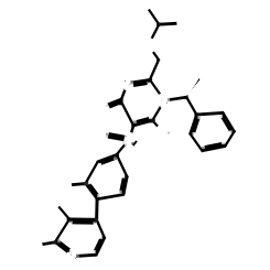 Cc1c(-c2ccc(S(=O)(=O)c3c(O)n([C@@H](C)c4ccccc4)c(COC(C)C)nc3=O)cc2F)ccnc1F